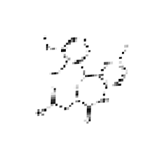 CCc1c(OC)cccc1C1OC(CC(=O)O)C(=O)Nc2ccc(Cl)cc21